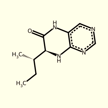 CC[C@H](C)[C@@H]1Nc2ncncc2NC1=O